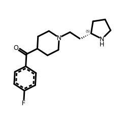 O=C(c1ccc(F)cc1)C1CCN(CC[C@@H]2CCCN2)CC1